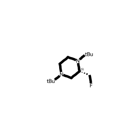 CC(C)(C)N1CCN(C(C)(C)C)[C@H](CF)C1